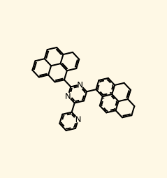 C1=CC2=CC=C3CC=CC4=C3C2C(=C1)C=C4c1nc(-c2ccccn2)cc(-c2ccc3c4c5c(ccc24)C=CCC5=CC3)n1